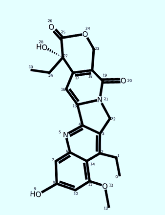 CCc1c2c(nc3cc(O)cc(OC)c13)-c1cc3c(c(=O)n1C2)COC(=O)[C@]3(O)CC